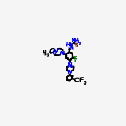 CN1CCN(c2cc(N3CCN(c4cccc(C(F)(F)F)c4)CC3)c(F)cc2/C=N/NC(N)=S)CC1